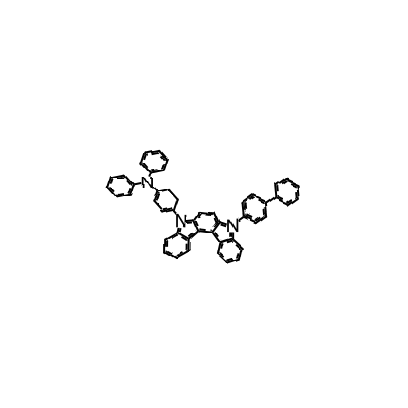 C1=C(N(c2ccccc2)c2ccccc2)CCC(n2c3ccccc3c3c4c5ccccc5n(-c5ccc(-c6ccccc6)cc5)c4ccc32)=C1